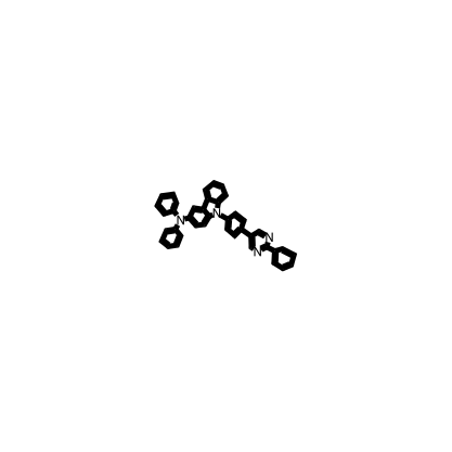 c1ccc(-c2ncc(-c3ccc(-n4c5ccccc5c5cc(N(c6ccccc6)c6ccccc6)ccc54)cc3)cn2)cc1